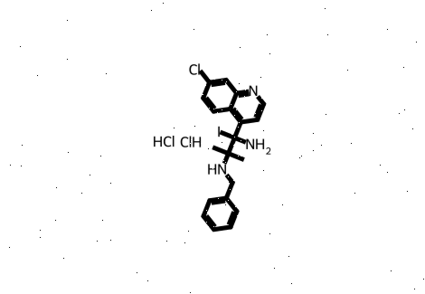 CC(C)(NCc1ccccc1)C(N)(I)c1ccnc2cc(Cl)ccc12.Cl.Cl